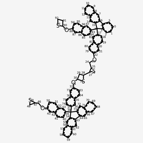 c1ccc2c(c1)-c1cc3ccccc3cc1C2(c1ccc2cc(OCC3SC3C3CC(Oc4ccc5cc(C6(c7ccc8cc(OCC9CS9)ccc8c7)c7cc8ccccc8cc7-c7cc8ccccc8cc76)ccc5c4)S3)ccc2c1)c1ccc2cc(OC3CCS3)ccc2c1